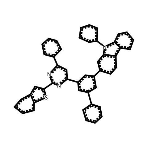 c1ccc(-c2cc(-c3ccc4c5ccccc5n(-c5ccccc5)c4c3)cc(-c3cc(-c4ccccc4)nc(-c4cc5ccccc5s4)n3)c2)cc1